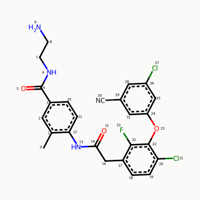 Cc1cc(C(=O)NCCN)ccc1NC(=O)Cc1ccc(Cl)c(Oc2cc(Cl)cc(C#N)c2)c1F